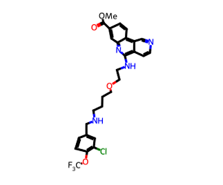 COC(=O)c1ccc2c(c1)nc(NCCOCCCCNCc1ccc(OC(F)(F)F)c(Cl)c1)c1ccncc12